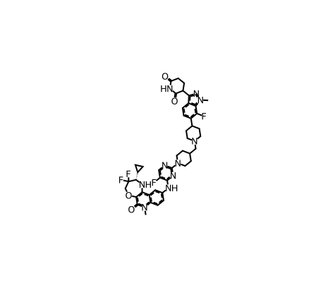 Cn1nc(C2CCC(=O)NC2=O)c2ccc(C3CCN(CC4CCN(c5ncc(F)c(Nc6ccc7c(c6)c6c(c(=O)n7C)OCC(F)(F)[C@H](C7CC7)N6)n5)CC4)CC3)c(F)c21